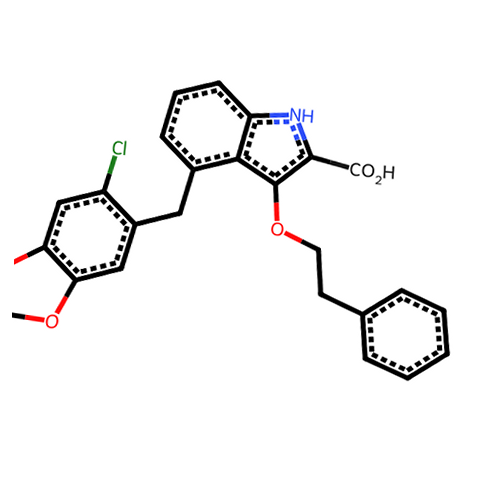 O=C(O)c1[nH]c2cccc(Cc3cc4c(cc3Cl)OCO4)c2c1OCCc1ccccc1